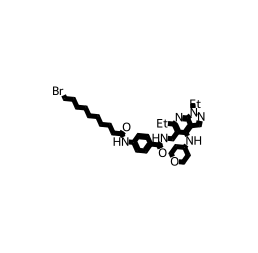 CCc1nc2c(cnn2CC)c(NC2CCOCC2)c1CNC(=O)c1ccc(NC(=O)CCCCCCCCCBr)cc1